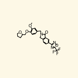 COc1cc(CN2Cc3ccc(-c4noc(C(F)(F)F)n4)cc3C2=O)ccc1OCC1CCCO1